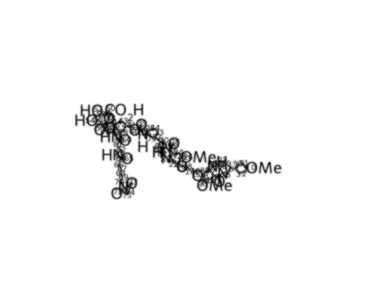 COc1ccc(C2=CN3C(=O)c4cc(OC)c(OCCCOc5cc6c(cc5OC)C(=O)N5C=C(c7cccc(NC(=O)OCc8ccc(O[C@@H]9O[C@H](C(=O)O)[C@@H](O)[C@H](O)[C@H]9O)c(NC(=O)CCNC(=O)CCCCCN9C(=O)C=CC9=O)c8)c7)C[C@H]5C=N6)cc4N=C[C@@H]3C2)cc1